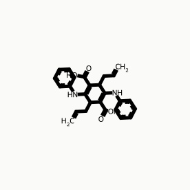 C=CCC1C(Nc2ccccc2)=C(C(=O)O)C(CC=C)C(Nc2ccccc2)=C1C(=O)O